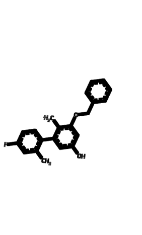 [CH2]c1c(OCc2ccccc2)cc(O)cc1-c1ccc(F)cc1C